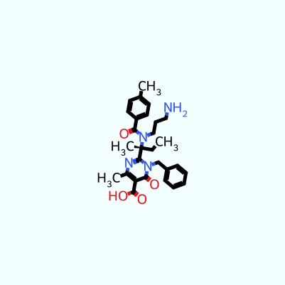 CC[C@](C)(c1nc(C)c(C(=O)O)c(=O)n1Cc1ccccc1)N(CCCN)C(=O)c1ccc(C)cc1